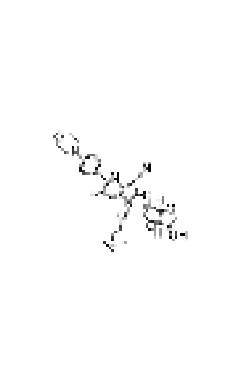 C[Si](C)(C)CCOCn1c(O[C@@H]2CO[C@H]3[C@@H]2OC[C@H]3O)c(C#N)c2nc(-c3ccc(N4CCOCC4)cc3)c(F)cc21